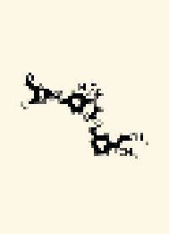 CC[C@H](C)c1cccc(COC(=O)CN(CC)c2ccc(/N=N/c3nc(Cl)c(C=O)s3)cc2)c1